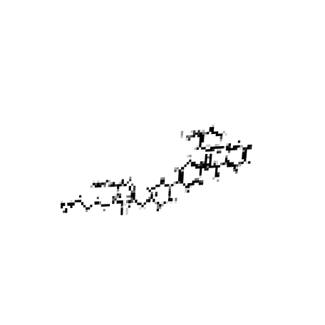 COC(=O)[C@H](CCCCN)NC(=O)CC1CCN(c2ccc(NC(=O)c3ccccc3-c3ccc(C(F)(F)F)cc3)cc2)CC1